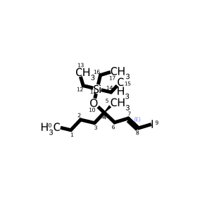 CCCC[C@@](C)(C/C=C/I)O[Si](CC)(CC)CC